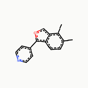 Cc1ccc2c(-c3ccncc3)occ2c1C